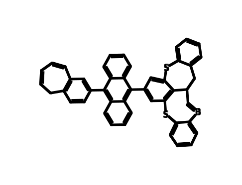 B1=C/C2Cc3ccccc3Sc3cc(-c4c5ccccc5c(-c5ccc6c(c5)C=CC=CC6)c5ccccc45)cc(c32)Sc2ccccc2/1